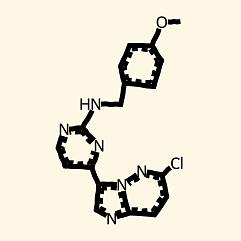 COc1ccc(CNc2nccc(-c3cnc4ccc(Cl)nn34)n2)cc1